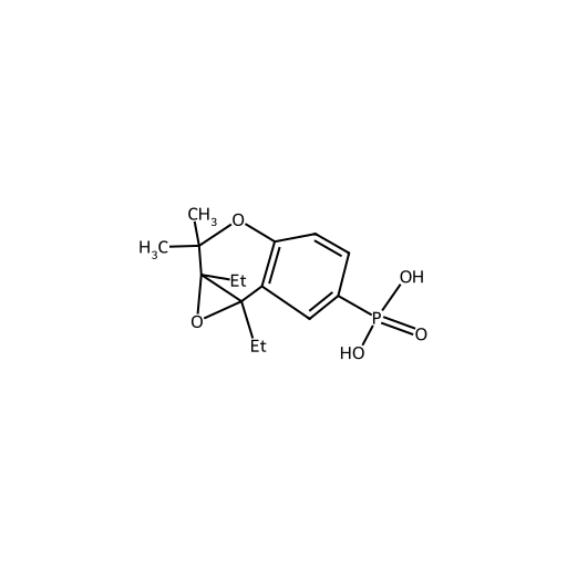 CCC12OC1(CC)C(C)(C)Oc1ccc(P(=O)(O)O)cc12